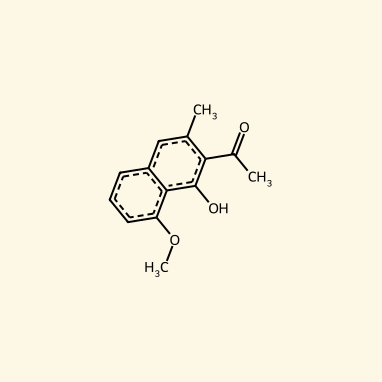 COc1cccc2cc(C)c(C(C)=O)c(O)c12